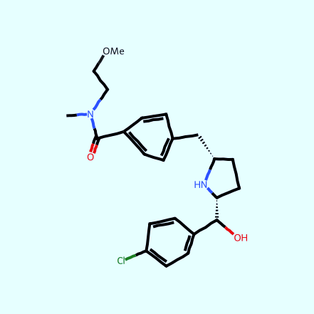 COCCN(C)C(=O)c1ccc(C[C@@H]2CC[C@H](C(O)c3ccc(Cl)cc3)N2)cc1